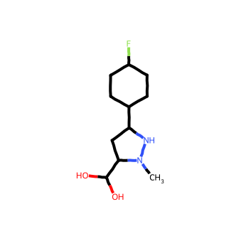 CN1NC(C2CCC(F)CC2)CC1C(O)O